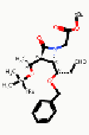 C[C@@H](O[Si](C)(C)C(C)(C)C)[C@H]1C(=O)N(CC(=O)OC(C)(C)C)[C@@H]1[C@H](CC=O)OCc1ccccc1